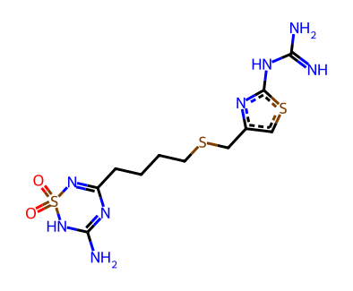 N=C(N)Nc1nc(CSCCCCC2=NS(=O)(=O)NC(N)=N2)cs1